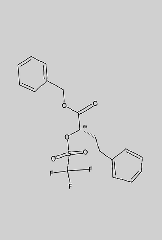 O=C(OCc1ccccc1)[C@H](CCc1ccccc1)OS(=O)(=O)C(F)(F)F